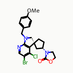 COc1ccc(CN2C[C@@]3(CC[C@H](N4CCOC4=O)C3)c3c2ncc(Br)c3Cl)cc1